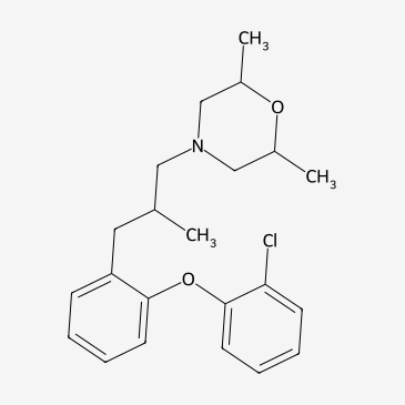 CC(Cc1ccccc1Oc1ccccc1Cl)CN1CC(C)OC(C)C1